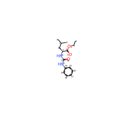 CCOC(=O)[C@H](CC(C)C)NC(=O)Nc1ccccc1